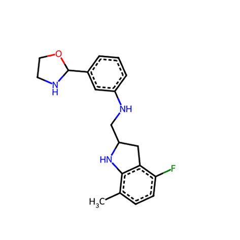 Cc1ccc(F)c2c1NC(CNc1cccc(C3NCCO3)c1)C2